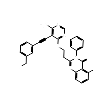 Nc1ncnc(NCCc2nc3cccc(Cl)c3c(=O)n2-c2ccccc2)c1C#Cc1cccc(CO)c1